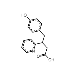 O=C(O)CC(Cc1ccc(O)cc1)c1ccccn1